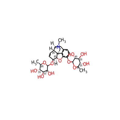 C[C@H]1OC(Oc2ccc3c4c2O[C@H]2[C@@H](OC5O[C@H](C)[C@@H](O)[C@H](O)[C@H]5O)C=C[C@H]5[C@@H](C3)N(C)CC[C@@]452)[C@H](O)[C@@H](O)[C@@H]1O